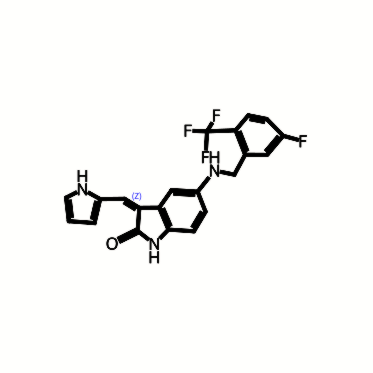 O=C1Nc2ccc(NCc3cc(F)ccc3C(F)(F)F)cc2/C1=C/c1ccc[nH]1